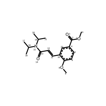 COC(=O)c1ccc(OC)c(C=CC(=O)N(C(C)C)C(C)C)c1